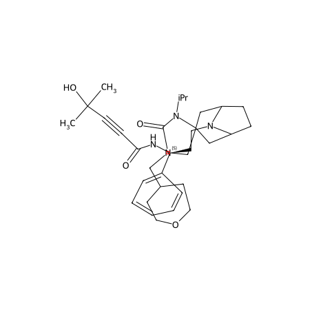 CC(C)N1C(=O)N(CC2CCOCC2)CC12CC1CCC(C2)N1CC[C@H](NC(=O)C#CC(C)(C)O)c1ccccc1